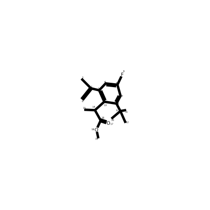 C=C(C)c1cc(F)cc(C(C)(C)C)c1C(C)C(=O)OC